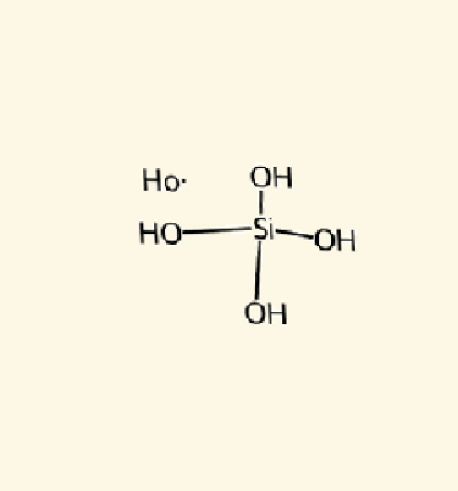 O[Si](O)(O)O.[Ho]